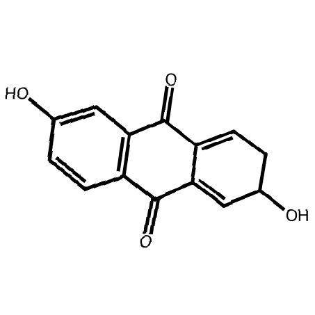 O=C1C2=CC(O)CC=C2C(=O)c2cc(O)ccc21